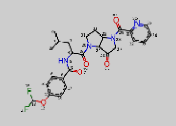 CC(C)CC(NC(=O)c1ccc(OC(F)F)cc1)C(=O)N1CCC2C1C(=O)CN2C(=O)c1ccccn1